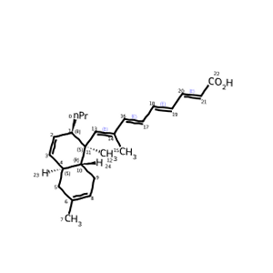 CCC[C@@H]1C=C[C@@H]2CC(C)=CC[C@H]2[C@]1(C)/C=C(C)/C=C/C=C/C=C/C(=O)O